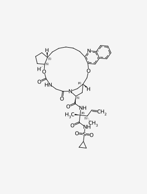 C=C[C@H](C)[C@@](C)(NC(=O)[C@@H]1C[C@H]2COc3cc4ccccc4nc3CCCCC[C@H]3CCC[C@@H]3OC(=O)NCC(=O)N1C2)C(=O)NS(=O)(=O)C1CC1